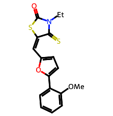 CCN1C(=O)SC(=Cc2ccc(-c3ccccc3OC)o2)C1=S